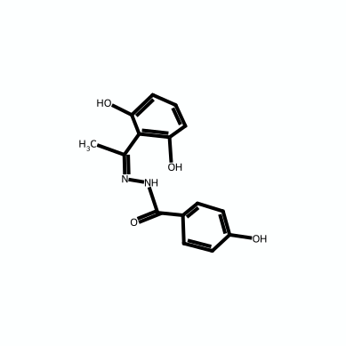 CC(=NNC(=O)c1ccc(O)cc1)c1c(O)cccc1O